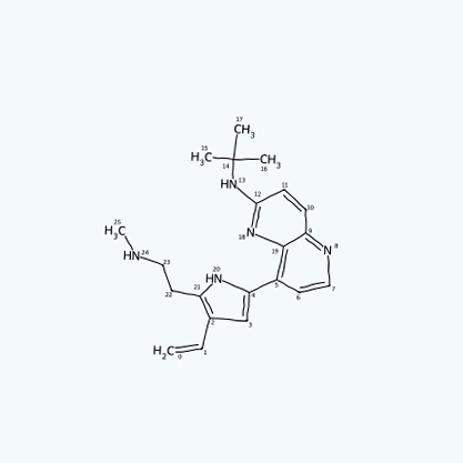 C=Cc1cc(-c2ccnc3ccc(NC(C)(C)C)nc23)[nH]c1CCNC